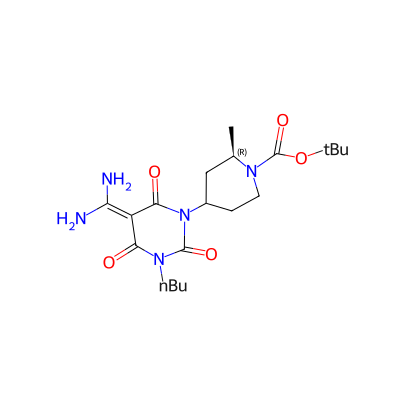 CCCCN1C(=O)C(=C(N)N)C(=O)N(C2CCN(C(=O)OC(C)(C)C)[C@H](C)C2)C1=O